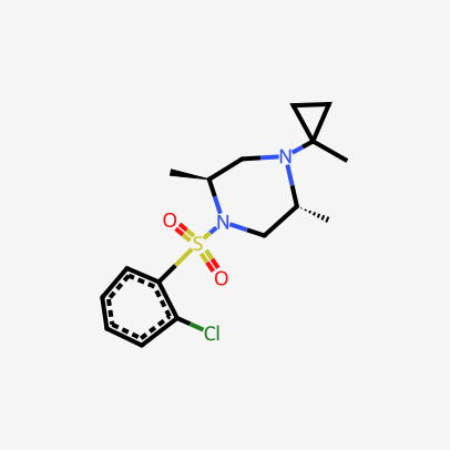 C[C@@H]1CN(S(=O)(=O)c2ccccc2Cl)[C@@H](C)CN1C1(C)CC1